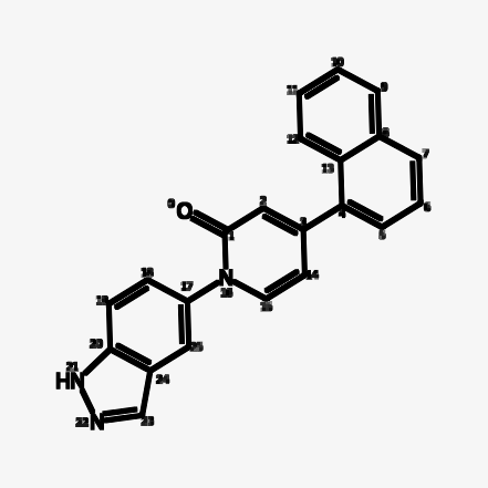 O=c1cc(-c2cccc3ccccc23)ccn1-c1ccc2[nH]ncc2c1